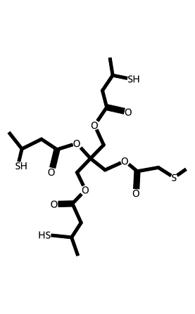 CSCC(=O)OCC(COC(=O)CC(C)S)(COC(=O)CC(C)S)OC(=O)CC(C)S